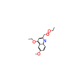 CCOOCc1cc(OCC)c2cc(OC)ccc2n1